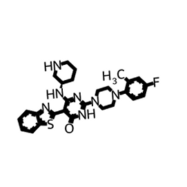 Cc1cc(F)ccc1N1CCN(c2nc(N[C@@H]3CCCNC3)c(-c3nc4ccccc4s3)c(=O)[nH]2)CC1